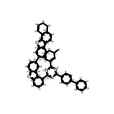 CC1C=C(c2nc(-c3ccc(-c4ccccc4)cc3)nc(-c3cccc4oc5ccc(-c6ccc7c(c6)oc6c8c(ccc67)CCC=C8)cc5c34)n2)C=CC1